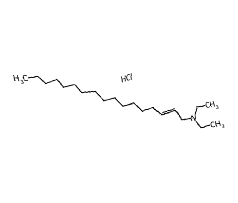 CCCCCCCCCCCCCCC=CCN(CC)CC.Cl